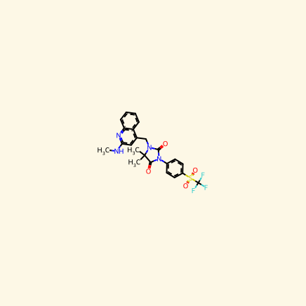 CNc1cc(CN2C(=O)N(c3ccc(S(=O)(=O)C(F)(F)F)cc3)C(=O)C2(C)C)c2ccccc2n1